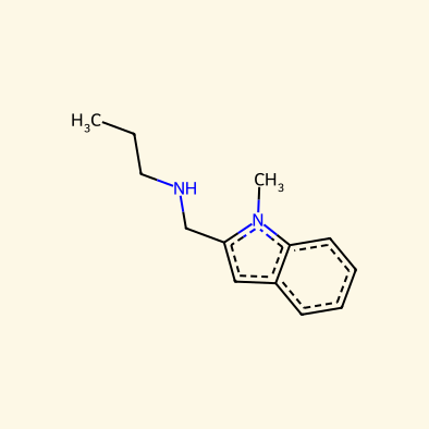 CCCNCc1cc2ccccc2n1C